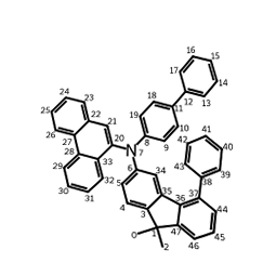 CC1(C)c2ccc(N(c3ccc(-c4ccccc4)cc3)c3cc4ccccc4c4ccccc34)cc2-c2c(-c3ccccc3)cccc21